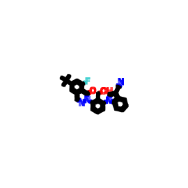 CC(C)(C)c1cc(F)c2c(=O)n(-c3cccc(-n4cc(C#N)c5ccccc54)c3CO)ncc2c1